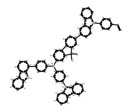 C=Cc1ccc(-n2c3ccccc3c3cc(-c4ccc5c(c4)C(C)(C)c4cc(N(c6ccc(-c7cccc8c7oc7ccccc78)cc6)c6ccc(-n7c8ccccc8c8ccccc87)cc6)ccc4-5)ccc32)cc1